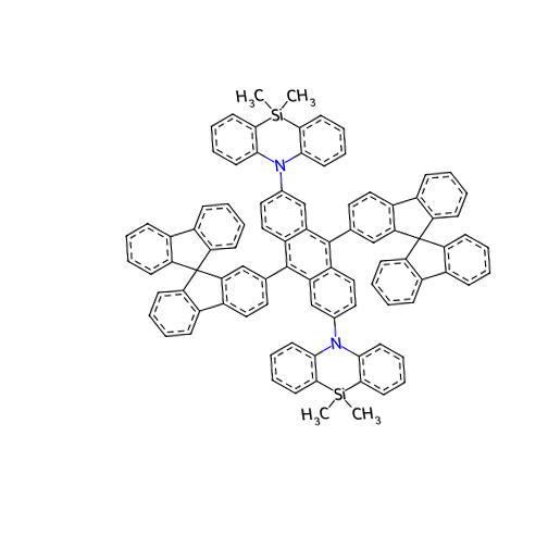 C[Si]1(C)c2ccccc2N(c2ccc3c(-c4ccc5c(c4)C4(c6ccccc6-c6ccccc64)c4ccccc4-5)c4cc(N5c6ccccc6[Si](C)(C)c6ccccc65)ccc4c(-c4ccc5c(c4)C4(c6ccccc6-c6ccccc64)c4ccccc4-5)c3c2)c2ccccc21